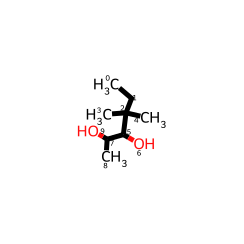 CCC(C)(C)C(O)C(C)O